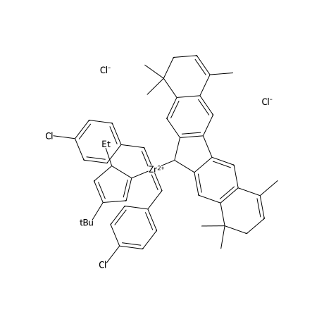 CCC1C=C(C(C)(C)C)C=[C]1[Zr+2](=[CH]c1ccc(Cl)cc1)(=[CH]c1ccc(Cl)cc1)[CH]1c2cc3c(cc2-c2cc4c(cc21)C(C)(C)CC=C4C)C(C)=CCC3(C)C.[Cl-].[Cl-]